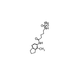 Cc1c(NC(=O)CCCCNS(=O)(=O)C(C)(C)C)ccc2c1CCC2